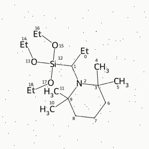 [CH2]CC(N1C(C)(C)CCCC1(C)C)[Si](OCC)(OCC)OCC